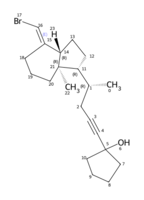 C[C@H](CC#CC1(O)CCCC1)[C@H]1CC[C@H]2/C(=C/Br)CCC[C@]12C